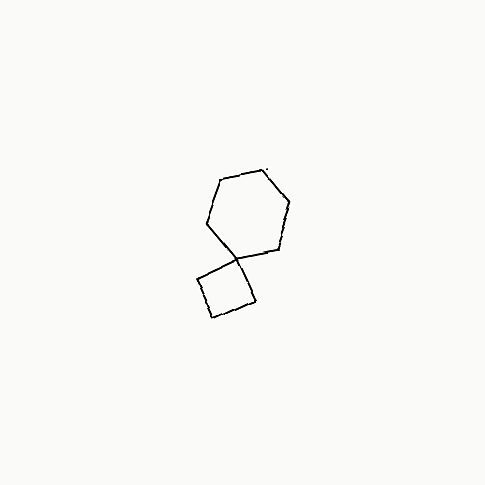 [CH]1CCC2(CC1)CCC2